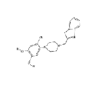 CCOc1cc(C#N)c(N2CCN(Cc3nc4ccccc4s3)CC2)cc1OC(C)C